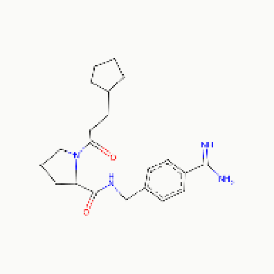 N=C(N)c1ccc(CNC(=O)C2CCCN2C(=O)CCC2CCCC2)cc1